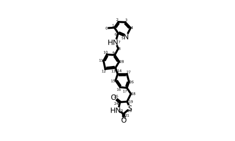 Cc1cccnc1NCc1cccc(-c2ccc(CC3SC(=O)NC3=O)cc2)c1